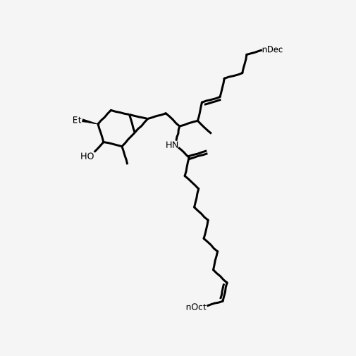 C=C(CCCCCCC/C=C\CCCCCCCC)NC(CC1C2C[C@H](CC)C(O)C(C)C12)C(C)/C=C/CCCCCCCCCCCCC